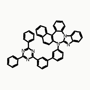 c1ccc(-c2nc(-c3ccccc3)nc(-c3cccc(-c4cccc(N5c6ccc7ccccc7c6-c6ccccc6-n6c5nc5ccccc56)c4)c3)n2)cc1